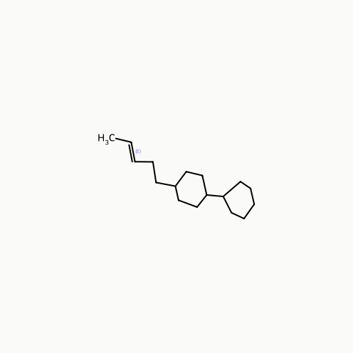 C/C=C/CCC1CCC(C2CCCCC2)CC1